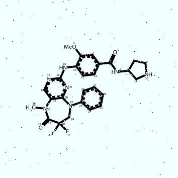 COc1cc(C(=O)NC2CCNC2)ccc1Nc1ncc2c(n1)N(c1ccccc1)CC(F)(F)C(=O)N2C